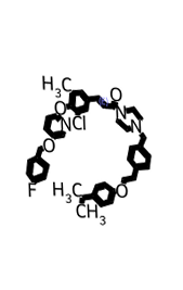 Cc1cc(/C=C/C(=O)N2CCN(Cc3ccc(CCOc4ccc(C(C)C)cc4)cc3)CC2)cc(Cl)c1Oc1ccc(OCc2ccc(F)cc2)cn1